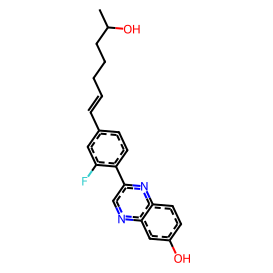 CC(O)CCCC=Cc1ccc(-c2cnc3cc(O)ccc3n2)c(F)c1